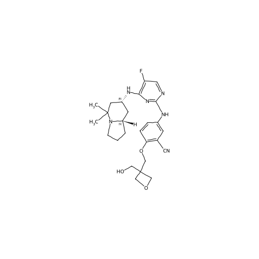 CC1(C)C[C@H](Nc2nc(Nc3ccc(OCC4(CO)COC4)c(C#N)c3)ncc2F)C[C@@H]2CCCN21